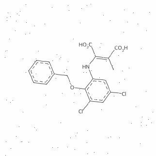 CC(C(=O)O)=C(Nc1cc(Cl)cc(Cl)c1OCc1ccccc1)C(=O)O